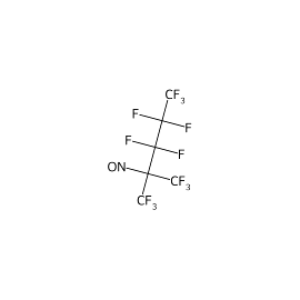 O=NC(C(F)(F)F)(C(F)(F)F)C(F)(F)C(F)(F)C(F)(F)F